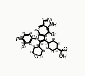 C=c1cn[nH]/c1=C(\Br)c1c(C2CCC(C(=O)O)CC2)c(C2CCOCC2)n(-c2ccc(F)c(F)c2)c1C